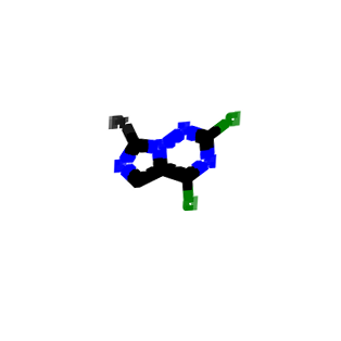 CC(C)c1ncc2c(Cl)nc(Cl)nn12